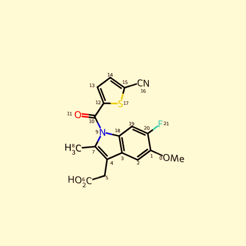 COc1cc2c(CC(=O)O)c(C)n(C(=O)c3ccc(C#N)s3)c2cc1F